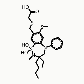 CCCCC1(CC)CN(c2ccccc2)c2cc(SC)c(CSCC(=O)O)cc2S(O)(O)N1C